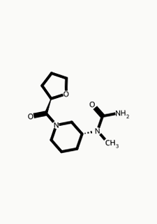 CN(C(N)=O)[C@@H]1CCCN(C(=O)[C@H]2CCCO2)C1